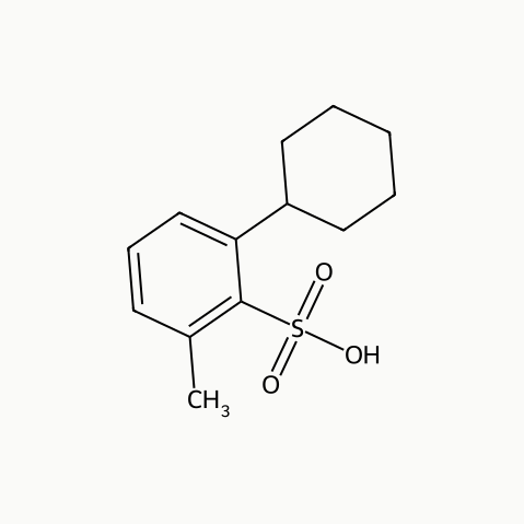 Cc1cccc(C2CCCCC2)c1S(=O)(=O)O